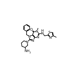 Cc1csc(CNc2nc3nc(N4CCCC(N)C4)n(Cc4ccccc4)c3c(=O)n2C)n1